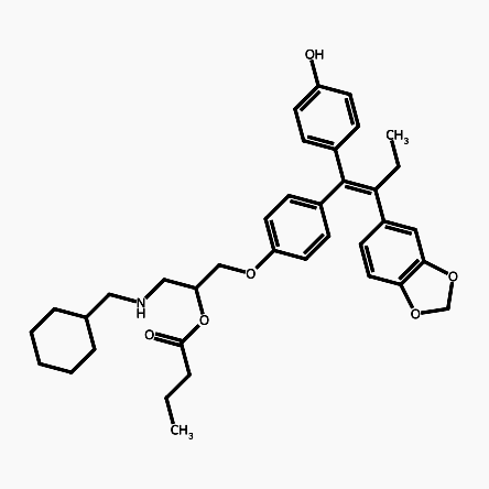 CCCC(=O)OC(CNCC1CCCCC1)COc1ccc(C(=C(CC)c2ccc3c(c2)OCO3)c2ccc(O)cc2)cc1